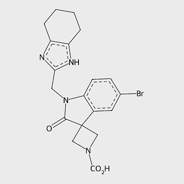 O=C(O)N1CC2(C1)C(=O)N(Cc1nc3c([nH]1)CCCC3)c1ccc(Br)cc12